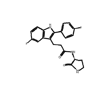 O=C(CCc1c(-c2ccc(F)cc2)[nH]c2ccc(F)cc12)N[C@H]1CCNC1=O